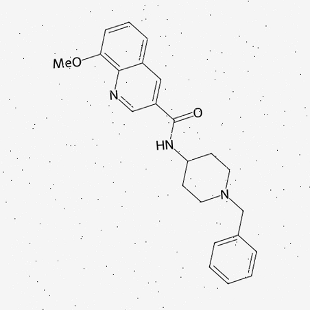 COc1cccc2cc(C(=O)NC3CCN(Cc4ccccc4)CC3)cnc12